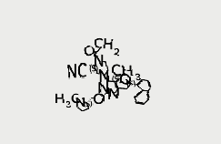 C=CC(=O)N1CCN(c2nc(OC[C@@H]3CCCN3C)nc3c2[C@H](C)O[C@H](c2cccc4ccccc24)C3)C[C@@H]1CC#N